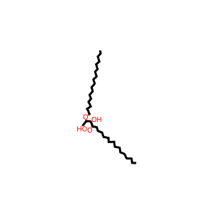 CCCCCCCCCCCCCCCCCCOC(CO)C(O)C(=O)CCCCCCCCCCCCCCC